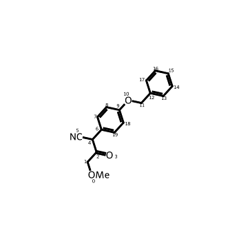 COCC(=O)C(C#N)c1ccc(OCc2ccccc2)cc1